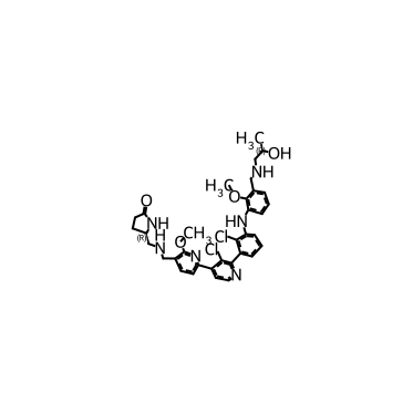 COc1nc(-c2ccnc(-c3cccc(Nc4cccc(CNC[C@@H](C)O)c4OC)c3Cl)c2Cl)ccc1CNC[C@H]1CCC(=O)N1